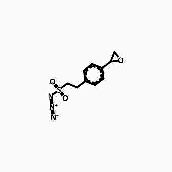 [N-]=[N+]=NS(=O)(=O)CCc1ccc(C2CO2)cc1